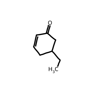 CCC1CC=CC(=O)C1